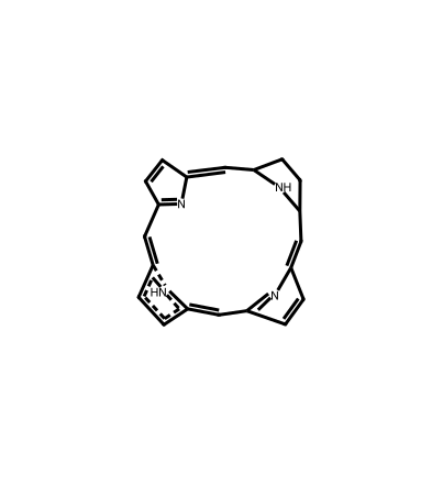 C1=CC2=NC1=CC1CCC(C=C3C=CC(=N3)C=c3ccc([nH]3)=C2)N1